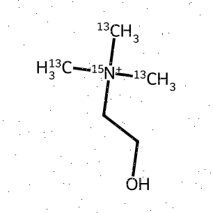 [13CH3][15N+]([13CH3])([13CH3])CCO